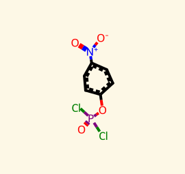 O=[N+]([O-])c1ccc(OP(=O)(Cl)Cl)cc1